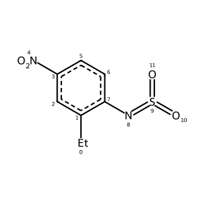 CCc1cc([N+](=O)[O-])ccc1N=S(=O)=O